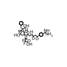 N=C(N)c1ccc(C(=O)CC(=O)NCC(=O)N[C@@H](CC(=O)O)C(=O)N[C@@H](Cc2ccccc2)C(=O)O)cc1.O=C(O)C(F)(F)F